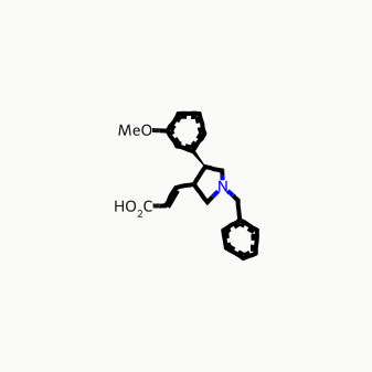 COc1cccc([C@H]2CN(Cc3ccccc3)CC2C=CC(=O)O)c1